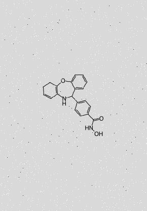 O=C(NO)c1ccc(C2NC3=C(CCC=C3)Oc3ccccc32)cc1